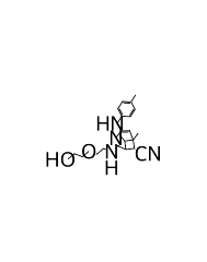 Cc1ccc(NC2=CC3(C)C(C)C(C(NCCOCCO)=N2)C3C#N)cc1